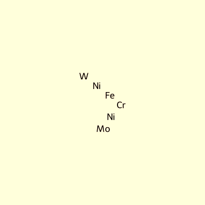 [Cr].[Fe].[Mo].[Ni].[Ni].[W]